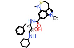 CCn1cc2c3c(cc(C(=O)N[C@@H](Cc4ccccc4)[C@H](O)CNC4CCCCC4)cc31)N(C)SCC2